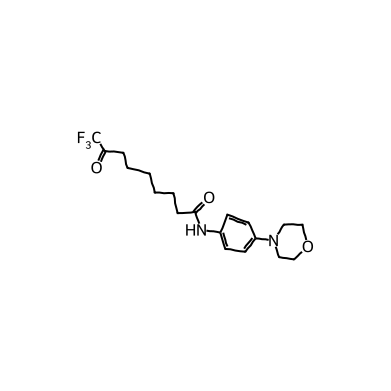 O=C(CCCCCCC(=O)C(F)(F)F)Nc1ccc(N2CCOCC2)cc1